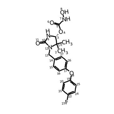 CC1(C)[C@@H](OC(=O)NO)NC(=O)N1Cc1ccc(Oc2ccc(F)cc2)cc1